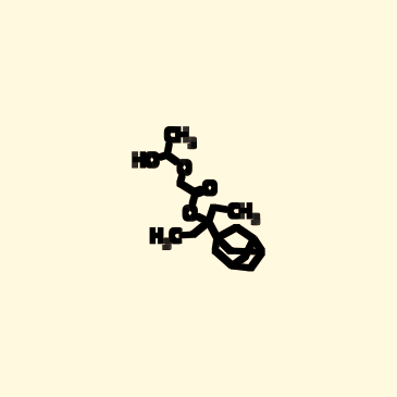 CCC(CC)(OC(=O)COC(C)O)C12CC3CC(C1)C(C3)C2